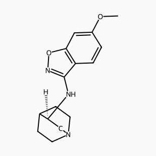 COc1ccc2c(N[C@H]3CN4CCC3CC4)noc2c1